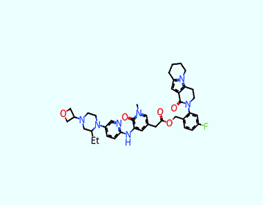 CCC1CN(C2COC2)CCN1c1ccc(Nc2cc(CC(=O)OCc3ccc(F)cc3N3CCc4c(cc5n4CCCC5)C3=O)cn(C)c2=O)nc1